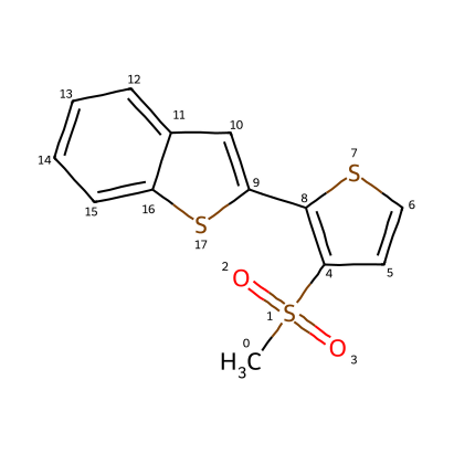 CS(=O)(=O)c1ccsc1-c1cc2ccccc2s1